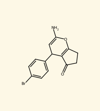 NC1=CC(c2ccc(Br)cc2)C2=C(CCC2=O)O1